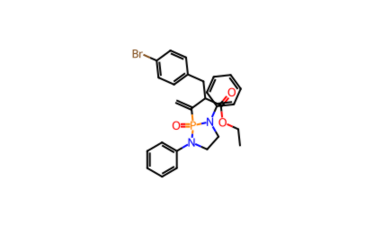 C=C(C(Cc1ccc(Br)cc1)C(=O)OCC)P1(=O)N(c2ccccc2)CCN1c1ccccc1